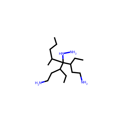 CCCC(C)C(NN)(C(CC)CCN)C(CC)CCN